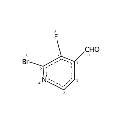 O=Cc1ccnc(Br)c1F